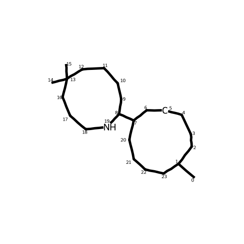 CC1CCCCCC(C2CCCCC(C)(C)CCCN2)CCCC1